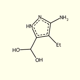 CCc1c(N)n[nH]c1C(O)O